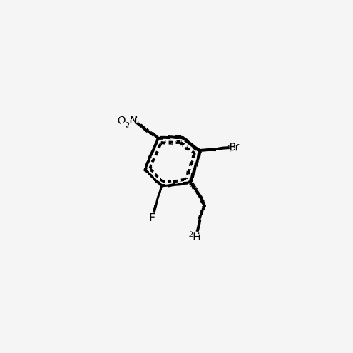 [2H]Cc1c(F)cc([N+](=O)[O-])cc1Br